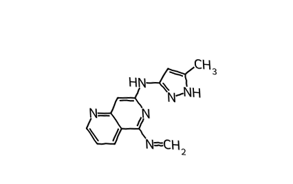 C=Nc1nc(Nc2cc(C)[nH]n2)cc2ncccc12